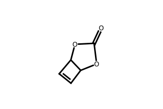 O=C1OC2C=CC2O1